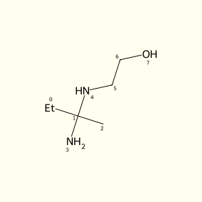 CCC(C)(N)NCCO